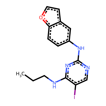 CCCNc1nc(Nc2ccc3occc3c2)ncc1I